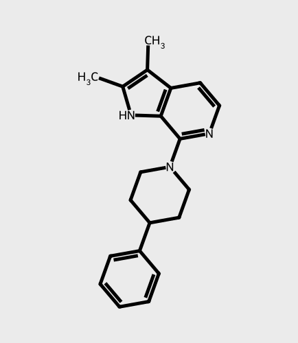 Cc1[nH]c2c(N3CCC(c4ccccc4)CC3)nccc2c1C